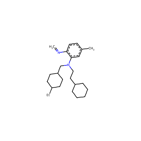 C=Nc1ccc(C)cc1N(CCC1CCCCC1)CC1CCC(CC)CC1